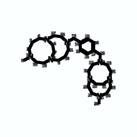 CN1CCCN2CCN(CCCN(Cc3ccc(CN4CCN5CCN(C)CCN(CC5)CC4)cc3)CC2)CC1